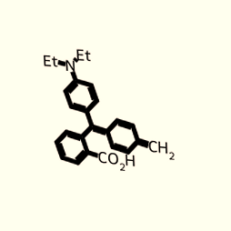 C=c1ccc(=C(c2ccc(N(CC)CC)cc2)c2ccccc2C(=O)O)cc1